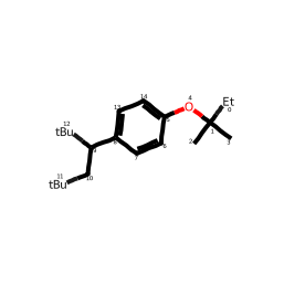 CCC(C)(C)Oc1ccc(C(CC(C)(C)C)C(C)(C)C)cc1